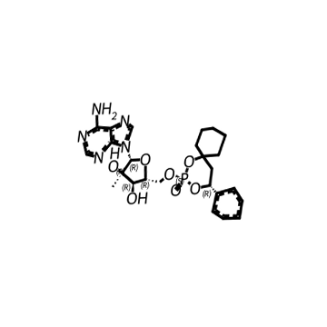 C[C@@]1(O)[C@H](O)[C@@H](CO[P@@]2(=O)O[C@@H](c3ccccc3)CC3(CCCCC3)O2)O[C@H]1n1cnc2c(N)ncnc21